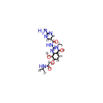 CCn1c(NC(=O)c2cnc(N)nc2)nc2c(OC)c(OCC(=O)NC(C)C)ccc2c1=O